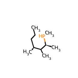 CCC[C@H](C)C(C)[C@H](C)PC